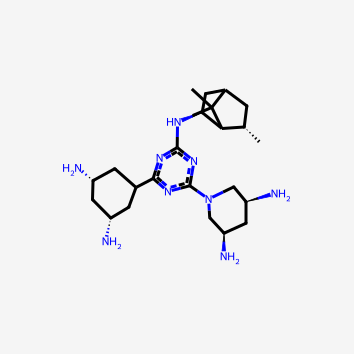 C[C@H]1CC2C[C@H](Nc3nc(C4C[C@@H](N)C[C@@H](N)C4)nc(N4C[C@H](N)C[C@H](N)C4)n3)C1C2(C)C